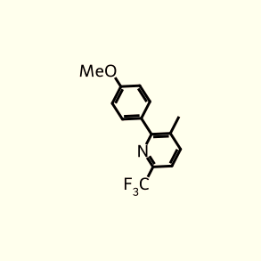 COc1ccc(-c2nc(C(F)(F)F)ccc2C)cc1